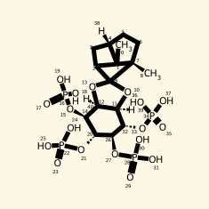 CC12C3C[C@@H]1CC[C@]2(C)C31O[C@@H]2[C@H](O1)[C@H](OP(=O)(O)O)[C@@H](OP(=O)(O)O)[C@H](OP(=O)(O)O)[C@H]2OP(=O)(O)O